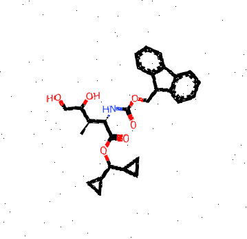 C[C@@H](C(O)CO)[C@H](NC(=O)OCC1c2ccccc2-c2ccccc21)C(=O)OC(C1CC1)C1CC1